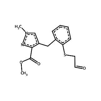 COC(=O)c1nn(C)cc1Cc1ccccc1SCC=O